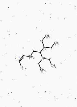 C/C=C\[SiH2]CC(N(CC)CC)N(CC)CC